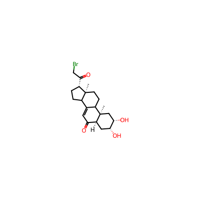 C[C@]12CCC3C(=CC(=O)[C@@H]4C[C@@H](O)[C@@H](O)C[C@]34C)C1CC[C@@H]2C(=O)CBr